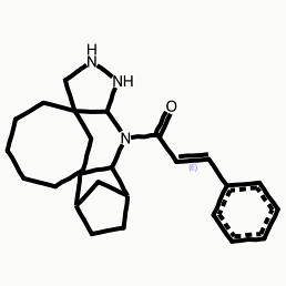 O=C(/C=C/c1ccccc1)N(C1CC2CCC1C2)C1NNCC12CCCCCCC2